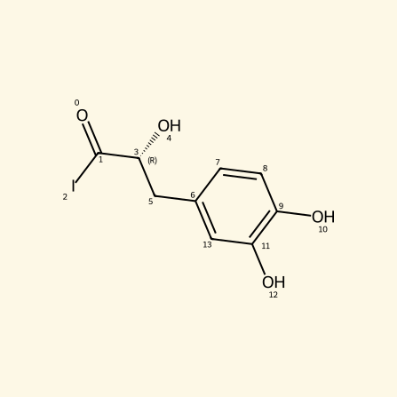 O=C(I)[C@H](O)Cc1ccc(O)c(O)c1